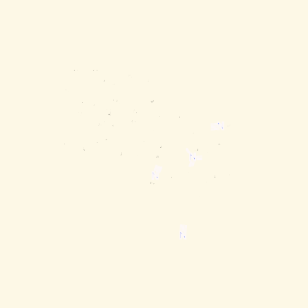 N#Cc1ccc2c(c1)c1ccccc1n2-c1c(C#N)ccc(-c2cccc([Si](c3ccccc3)(c3ccccc3)c3ccccc3)c2)c1C#N